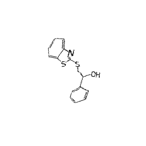 OC(CSc1nc2ccccc2s1)c1ccccc1